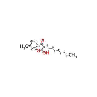 CCCCCCCCCC(C(=O)O)C(=O)c1ccc(C)cc1